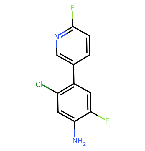 Nc1cc(Cl)c(-c2ccc(F)nc2)cc1F